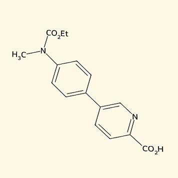 CCOC(=O)N(C)c1ccc(-c2ccc(C(=O)O)nc2)cc1